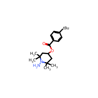 CC(C)(C)c1ccc(C(=O)OC2CC(C)(C)N(N)C(C)(C)C2)cc1